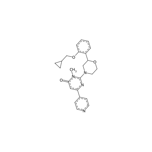 Cn1c(N2CCOC(c3ccccc3OCC3CC3)C2)nc(-c2ccncc2)cc1=O